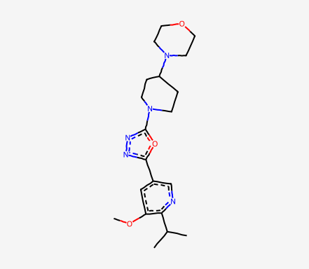 COc1cc(-c2nnc(N3CCC(N4CCOCC4)CC3)o2)cnc1C(C)C